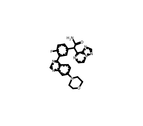 NC(=O)C(c1ccc(F)c(-c2ncnc3cc(N4CCOCC4)ccc23)c1)c1nccn2ncnc12